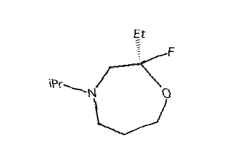 CC[C@@]1(F)CN(C(C)C)CCCO1